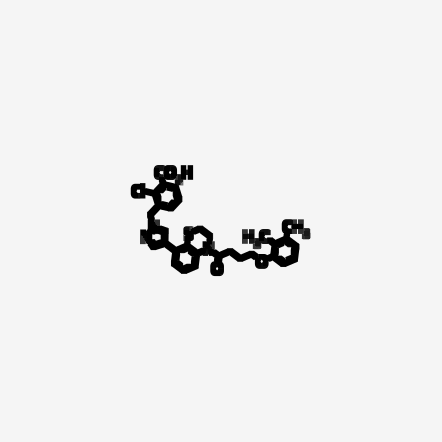 Cc1cccc(OCCCC(=O)N2CCSc3c(-c4cnn(Cc5cccc(C(=O)O)c5Cl)c4)cccc32)c1C